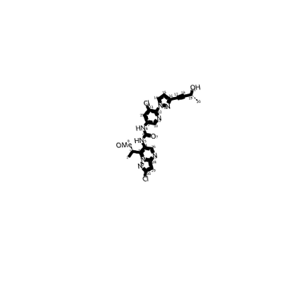 CO[C@@H](C)c1c(NC(=O)Nc2cnc(-n3ccc(C#C[C@@H](C)O)n3)c(Cl)c2)cnc2cc(Cl)nn12